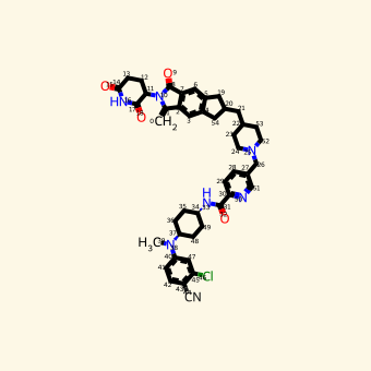 C=C1c2cc3c(cc2C(=O)N1C1CCC(=O)NC1=O)CC(CC1CCN(Cc2ccc(C(=O)N[C@H]4CC[C@H](N(C)c5ccc(C#N)c(Cl)c5)CC4)nc2)CC1)C3